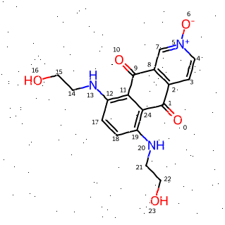 O=C1c2cc[n+]([O-])cc2C(=O)c2c(NCCO)ccc(NCCO)c21